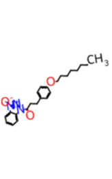 CCCCCCCCOc1ccc(CCC(=O)n2n[n+]([O-])c3ccccc32)cc1